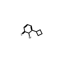 S=C1C=CC=C(C2CCC2)C1Br